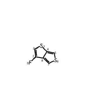 Fc1csc2cscc12